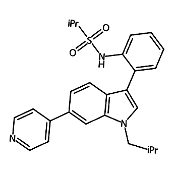 CC(C)Cn1cc(-c2ccccc2NS(=O)(=O)C(C)C)c2ccc(-c3ccncc3)cc21